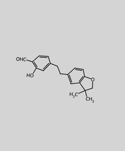 CC1(C)COc2ccc(CCc3ccc(C=O)c(O)c3)cc21